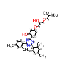 CCCCC(CC)COCC(O)COc1ccc(-c2nc(-c3ccc(C)cc3C)nc(-c3ccc(C)cc3C)n2)c(O)c1